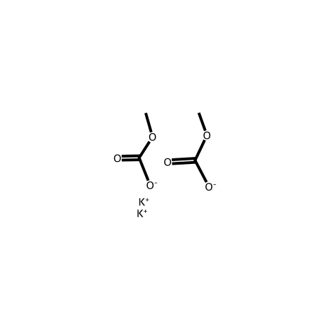 COC(=O)[O-].COC(=O)[O-].[K+].[K+]